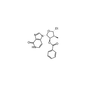 CC[C@H]1O[C@@H](n2cnc3c(=O)[nH]ccc32)[C@H](OC(=O)c2ccccc2)[C@@H]1C